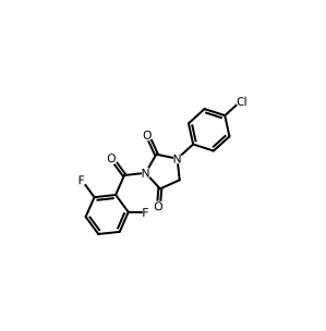 O=C1CN(c2ccc(Cl)cc2)C(=O)N1C(=O)c1c(F)cccc1F